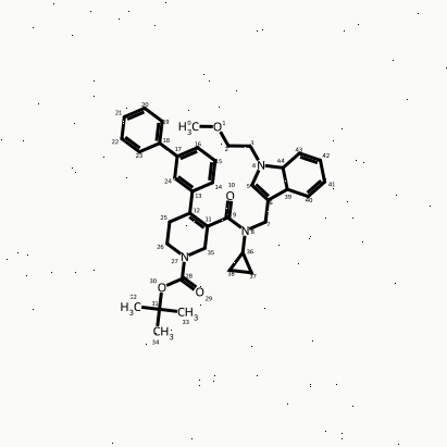 COCCN1C=C(CN(C(=O)C2=C(c3cccc(-c4ccccc4)c3)CCN(C(=O)OC(C)(C)C)C2)C2CC2)C2C=CC=CC21